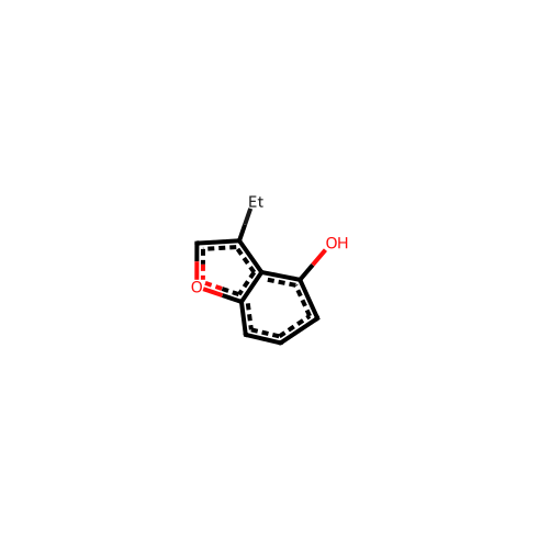 CCc1coc2cccc(O)c12